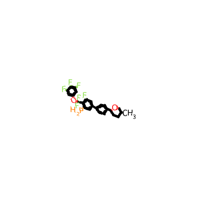 CC1CCC(c2ccc(-c3cc(F)c(C(F)(F)Oc4cc(F)c(F)c(F)c4)c(P)c3)cc2)OC1